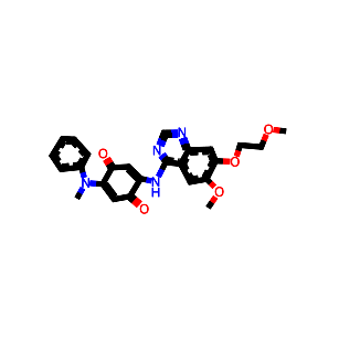 COCCOc1cc2ncnc(NC3=CC(=O)C(N(C)c4ccccc4)=CC3=O)c2cc1OC